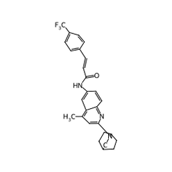 Cc1cc(N2CC3CCC2CC3)nc2ccc(NC(=O)/C=C/c3ccc(C(F)(F)F)cc3)cc12